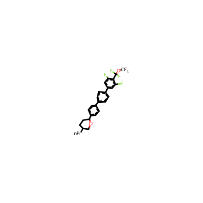 CCCC1CCC(c2ccc(-c3ccc(-c4cc(F)c(C(F)(F)OC(F)(F)F)c(F)c4)cc3)cc2)OC1